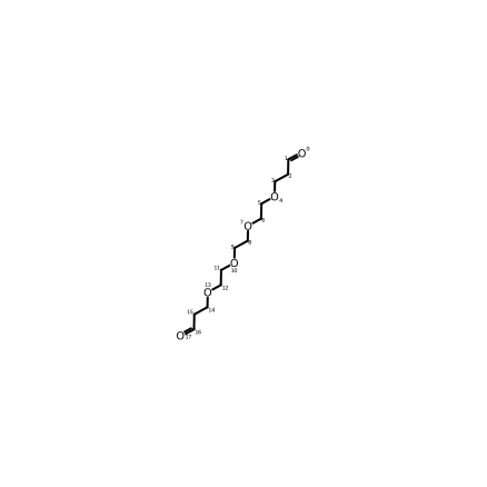 O=CCCOCCOCCOCCOCCC=O